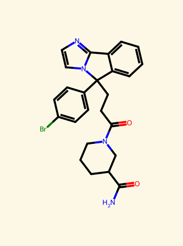 NC(=O)C1CCCN(C(=O)CCC2(c3ccc(Br)cc3)c3ccccc3-c3nccn32)C1